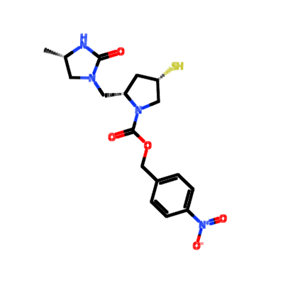 C[C@H]1CN(C[C@@H]2C[C@H](S)CN2C(=O)OCc2ccc([N+](=O)[O-])cc2)C(=O)N1